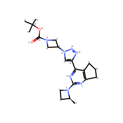 C[C@H]1CCN1c1nc2c(c(-c3cn(C4CN(C(=O)OC(C)(C)C)C4)nn3)n1)CCC2